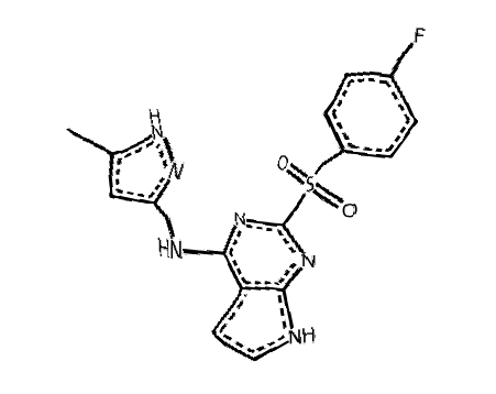 Cc1cc(Nc2nc(S(=O)(=O)c3ccc(F)cc3)nc3[nH]ccc23)n[nH]1